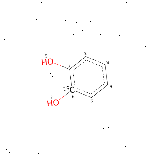 Oc1cccc[13c]1O